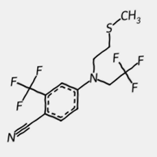 CSCCN(CC(F)(F)F)c1ccc(C#N)c(C(F)(F)F)c1